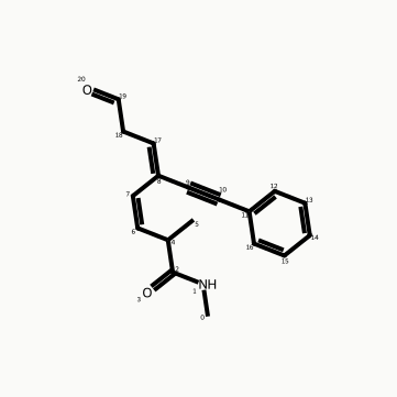 CNC(=O)C(C)/C=C\C(C#Cc1ccccc1)=C/CC=O